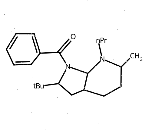 CCCN1C(C)CCC2CC(C(C)(C)C)N(C(=O)c3ccccc3)C21